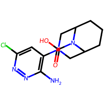 Nc1nnc(Cl)cc1N1CC2CCCC(C1)N2C(=O)O